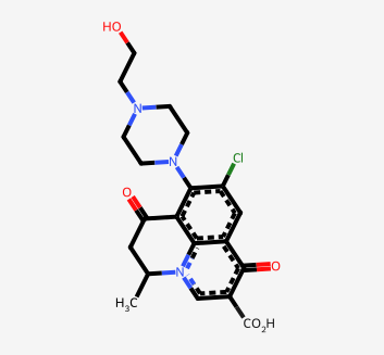 CC1CC(=O)c2c(N3CCN(CCO)CC3)c(Cl)cc3c(=O)c(C(=O)O)cn1c23